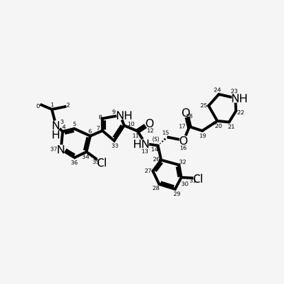 CC(C)Nc1cc(-c2c[nH]c(C(=O)N[C@H](COC(=O)CC3CCNCC3)c3cccc(Cl)c3)c2)c(Cl)cn1